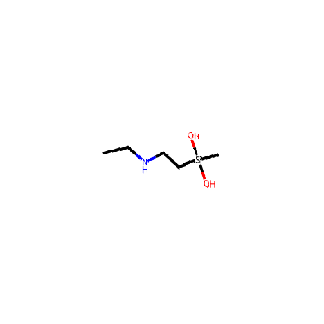 CCNCC[Si](C)(O)O